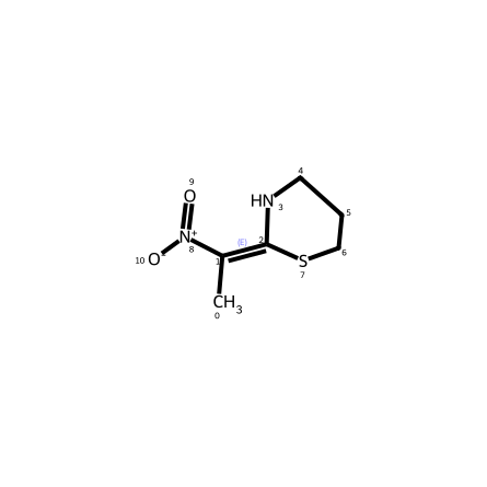 C/C(=C1/NCCCS1)[N+](=O)[O-]